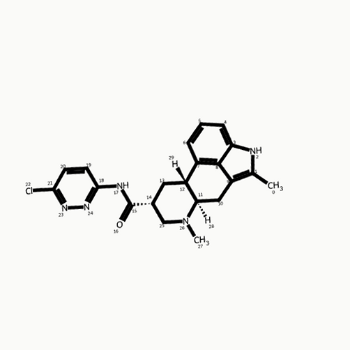 Cc1[nH]c2cccc3c2c1C[C@@H]1[C@@H]3C[C@@H](C(=O)Nc2ccc(Cl)nn2)CN1C